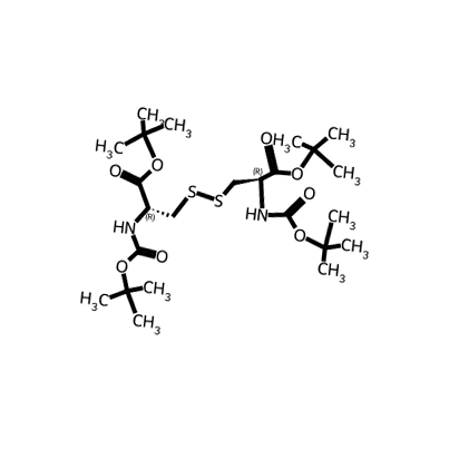 CC(C)(C)OC(=O)N[C@@H](CSSC[C@H](NC(=O)OC(C)(C)C)C(=O)OC(C)(C)C)C(=O)OC(C)(C)C